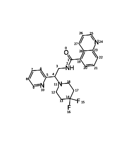 O=C(NCC(c1ccccn1)N1CCC(F)(F)CC1)c1cccc2ncccc12